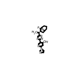 C=C(c1cnc(-c2cnc(-n3ccnc3)cc2O)nn1)[C@@H]1CC2CCCC(N2)[C@H]1F